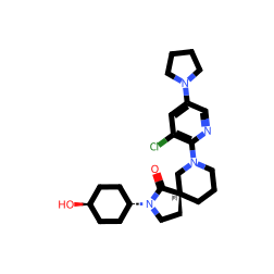 O=C1N([C@H]2CC[C@H](O)CC2)CC[C@@]12CCCN(c1ncc(N3CCCC3)cc1Cl)C2